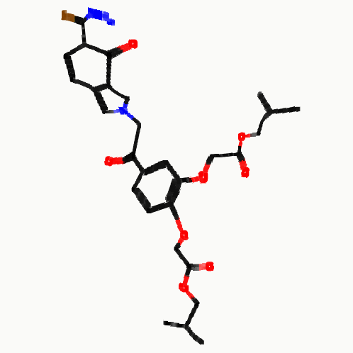 CC(C)COC(=O)COc1ccc(C(=O)CN2C=C3C=CC(C(N)=S)C(=O)C3C2)cc1OCC(=O)OCC(C)C